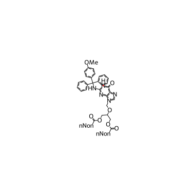 CCCCCCCCCC(=O)OCC(COC(=O)CCCCCCCCC)OCn1cnc2c(=O)[nH]c(NC(c3ccccc3)(c3ccccc3)c3ccc(OC)cc3)nc21